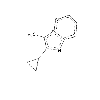 Cc1c(C2CC2)nc2cccnn12